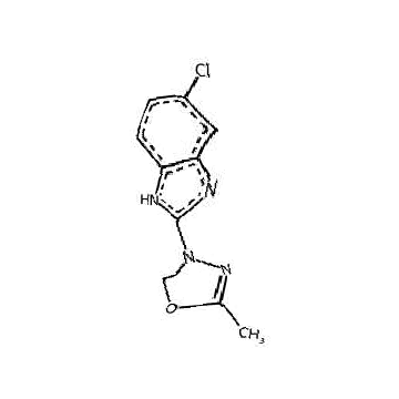 CC1=NN(c2nc3cc(Cl)ccc3[nH]2)CO1